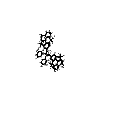 Cc1cc2c3c4c(cccc14)C(C)(C)c1cc(-c4oc(-c5cc6c7c(c5)C(C)(C)c5cccc8c(C)cc(c-7c58)C6(C)C)c(-c5ccccc5)c4-c4ccccc4)cc(c1-3)C2(C)C